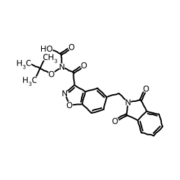 CC(C)(C)ON(C(=O)O)C(=O)c1noc2ccc(CN3C(=O)c4ccccc4C3=O)cc12